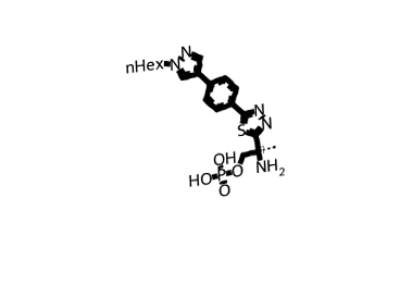 CCCCCCn1cc(-c2ccc(-c3nnc([C@@](C)(N)COP(=O)(O)O)s3)cc2)cn1